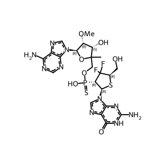 CO[C@H]1[C@H](n2cnc3c(N)ncnc32)OC(C)(COP(O)(=S)[C@H]2[C@H](n3cnc4c(=O)[nH]c(N)nc43)S[C@H](CO)C2(F)F)[C@H]1O